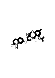 Cc1cc2c(c(OC(C)C)c1)C(=O)N1C[C@@H](Oc3ccc4c(c3)NC(=O)CC4)C[C@@H]1CO2